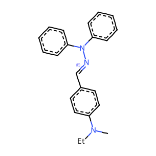 CCN(C)c1ccc(/C=N/N(c2ccccc2)c2ccccc2)cc1